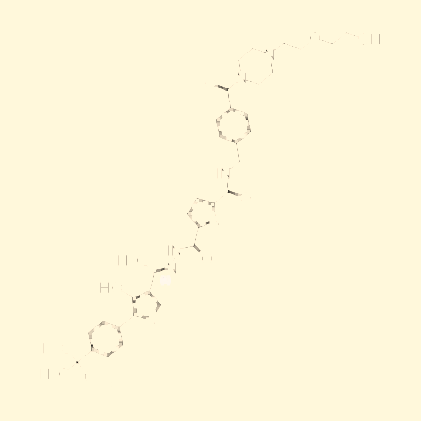 C/C(=N\NC(=O)c1ccc(C(=O)NCc2ccc(C(=O)N3CCN(CCOCCO)CC3)cc2)s1)c1csc(-c2ccc(C(C)(C)C)cc2)c1O